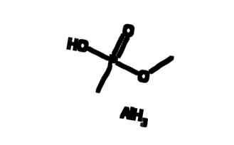 COP(C)(=O)O.[AlH3]